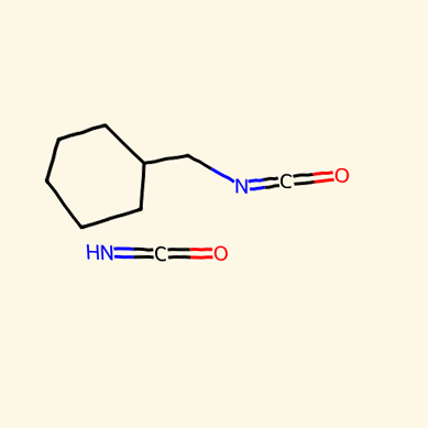 N=C=O.O=C=NCC1CCCCC1